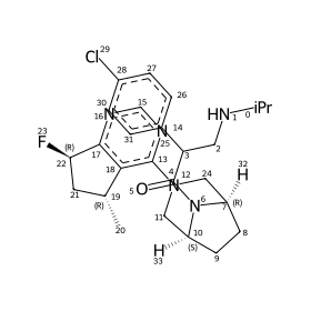 CC(C)NCC(C(=O)N1[C@@H]2CC[C@H]1CN(c1ncnc3c1[C@H](C)C[C@H]3F)C2)c1ccc(Cl)cc1